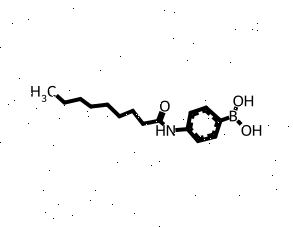 CCCCCCCCC(=O)Nc1ccc(B(O)O)cc1